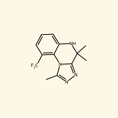 Cc1nnc2n1-c1c(cccc1C(F)(F)F)NC2(C)C